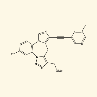 COCc1nnn2c1Cc1c(C#Cc3cncc(C)c3)ncn1-c1ccc(Cl)cc1-2